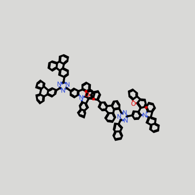 c1ccc2cc(-c3nc(-c4ccc(-n5c6ccccc6c6cc7ccccc7cc65)c(-c5cccc6c5oc5ccccc56)c4)nc(-c4cccc5c6cc(-c7ccc8c(c7)oc7c(-c9cc(-c%10nc(-c%11ccc%12c%13ccccc%13c%13ccccc%13c%12c%11)nc(-c%11ccc%12c%13ccccc%13c%13ccccc%13c%12c%11)n%10)ccc9-n9c%10ccccc%10c%10cc%11ccccc%11cc%109)cccc78)ccc6c6ccccc6c45)n3)ccc2c1